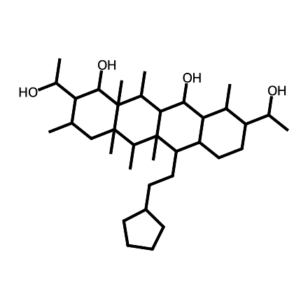 CC(O)C1CCC2C(C1C)C(O)C1C(C)C3(C)C(O)C(C(C)O)C(C)CC3(C)C(C)C1(C)C2CCC1CCCC1